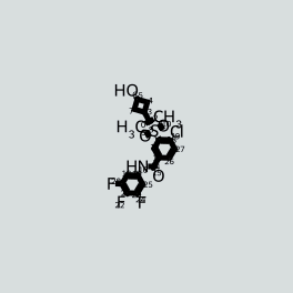 CC(C)(C1CC(O)C1)S(=O)(=O)c1cc(C(=O)Nc2cc(F)c(F)c(F)c2)ccc1Cl